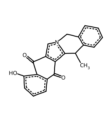 CC1c2ccccc2Cn2cc3c(c21)C(=O)c1cccc(O)c1C3=O